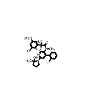 COc1cc(Cl)cc(C(C)(C)C(=O)N(C)c2cnc(N3CCCC3(C)O)cc2-c2ccccc2Cl)c1